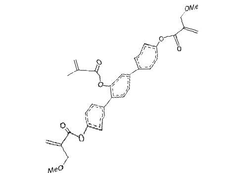 C=C(C)C(=O)Oc1cc(-c2ccc(OC(=O)C(=C)COC)cc2)ccc1-c1ccc(OC(=O)C(=C)COC)cc1